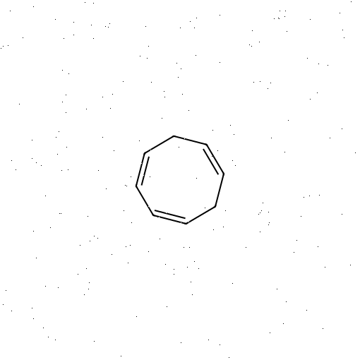 C1=C\C/C=C\C\C=C/1